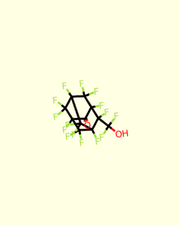 O=C1C2(F)C(F)(F)C3(F)C(F)(F)C1(F)C(F)(C(O)(F)F)C(F)(C2(F)F)C3(F)F